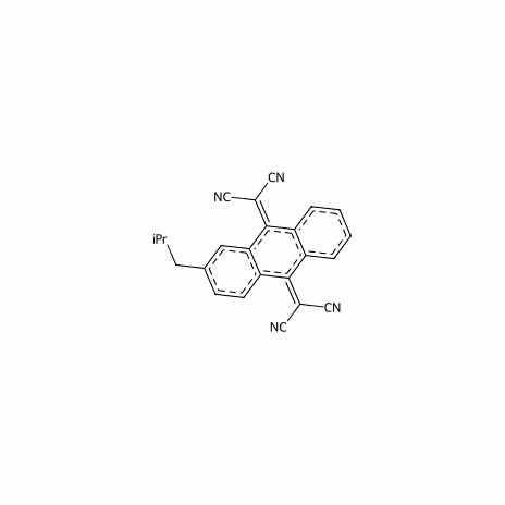 CC(C)Cc1ccc2c(=C(C#N)C#N)c3ccccc3c(=C(C#N)C#N)c2c1